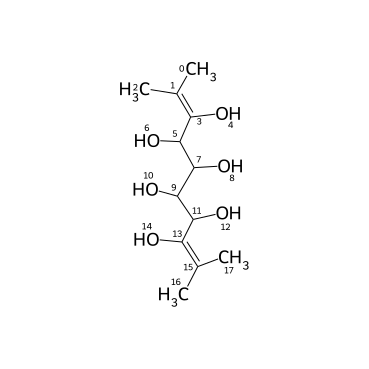 CC(C)=C(O)C(O)C(O)C(O)C(O)C(O)=C(C)C